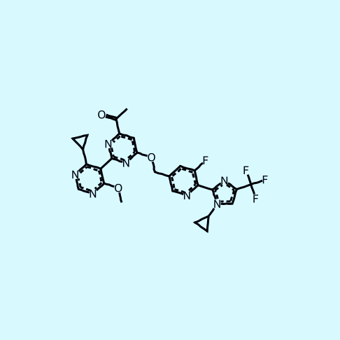 COc1ncnc(C2CC2)c1-c1nc(OCc2cnc(-c3nc(C(F)(F)F)cn3C3CC3)c(F)c2)cc(C(C)=O)n1